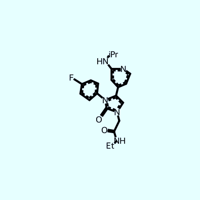 CCNC(=O)Cn1cc(-c2ccnc(NC(C)C)c2)n(-c2ccc(F)cc2)c1=O